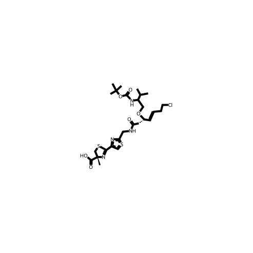 CC(C)C(CO[C@H](/C=C/CCCl)CC(=O)NCc1nc(C2=N[C@](C)(C(=O)O)CS2)cs1)NC(=O)OC(C)(C)C